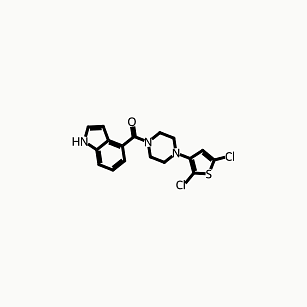 O=C(c1cccc2[nH]ccc12)N1CCN(c2cc(Cl)sc2Cl)CC1